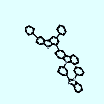 c1ccc(-c2ccc3sc4c(-c5ccc6c(c5)c5ccccc5n6-c5cccc(-c6nc7ccccc7n6-c6ccccc6)c5)cc(-c5ccccc5)cc4c3c2)cc1